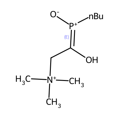 CCCC/[P+]([O-])=C(\O)C[N+](C)(C)C